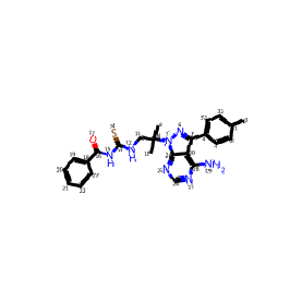 Cc1ccc(-c2nn(C(C)(C)CNC(=S)NC(=O)c3ccccc3)c3ncnc(N)c23)cc1